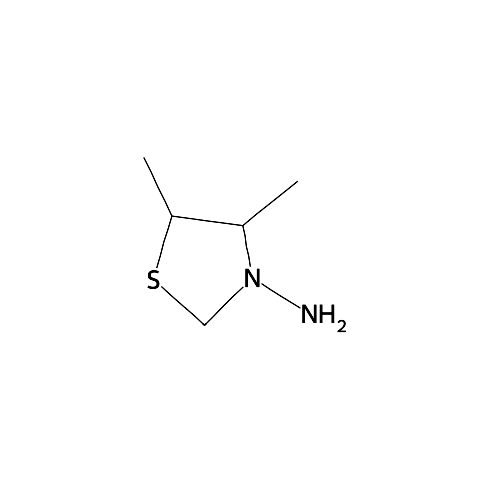 CC1SCN(N)C1C